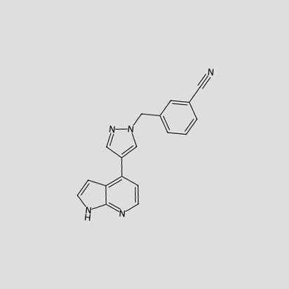 N#Cc1cccc(Cn2cc(-c3ccnc4[nH]ccc34)cn2)c1